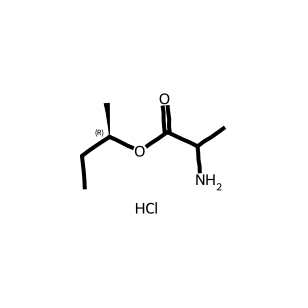 CC[C@@H](C)OC(=O)C(C)N.Cl